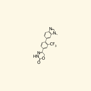 Cn1cnc2ccc(-c3ccc(C4=NNC(=O)OC4)cc3C(F)(F)F)cc21